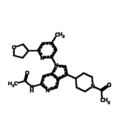 CC(=O)Nc1cc2c(cn1)c(C1CCN(C(C)=O)CC1)cn2-c1cc(C)cc(C2CCOC2)n1